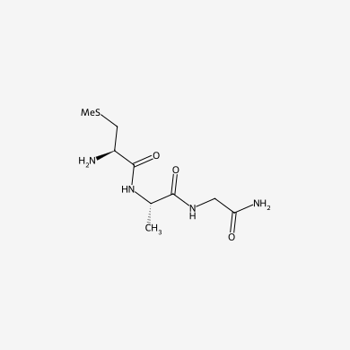 CSC[C@H](N)C(=O)N[C@@H](C)C(=O)NCC(N)=O